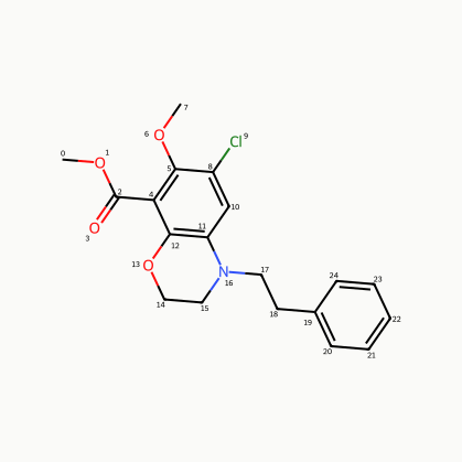 COC(=O)c1c(OC)c(Cl)cc2c1OCCN2CCc1ccccc1